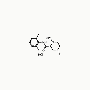 CCCN1CC[C@H](F)C[C@H]1C(=O)Nc1c(C)cccc1C.Cl